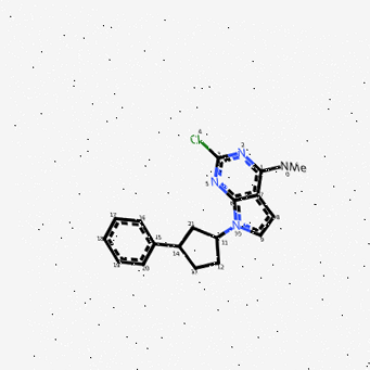 CNc1nc(Cl)nc2c1ccn2C1CCC(c2ccccc2)C1